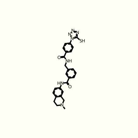 CN1CCc2ccc(NC(=O)c3cccc(CNC(=O)c4ccc(-n5nnnc5S)cc4)c3)cc2C1